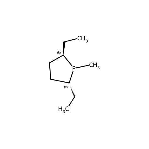 CC[C@@H]1CC[C@@H](CC)P1C